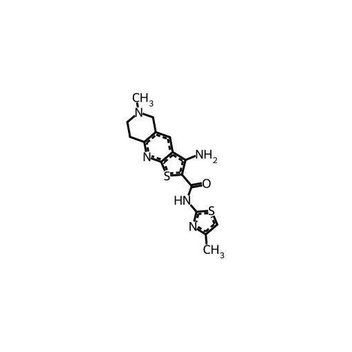 Cc1csc(NC(=O)c2sc3nc4c(cc3c2N)CN(C)CC4)n1